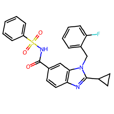 O=C(NS(=O)(=O)c1ccccc1)c1ccc2nc(C3CC3)n(Cc3ccccc3F)c2c1